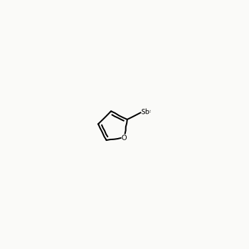 [Sb][c]1ccco1